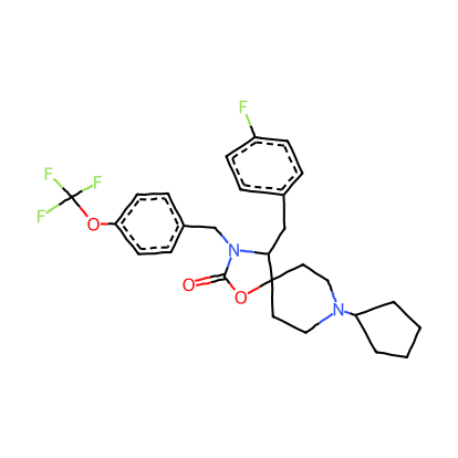 O=C1OC2(CCN(C3CCCC3)CC2)C(Cc2ccc(F)cc2)N1Cc1ccc(OC(F)(F)F)cc1